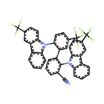 N#Cc1cccc(-c2cc(C(F)(F)F)ccc2-n2c3ccccc3c3cc(C(F)(F)F)ccc32)c1-n1c2ccccc2c2cc(C(F)(F)F)ccc21